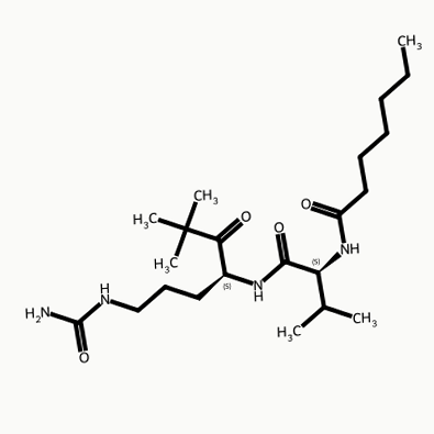 CCCCCCC(=O)N[C@H](C(=O)N[C@@H](CCCNC(N)=O)C(=O)C(C)(C)C)C(C)C